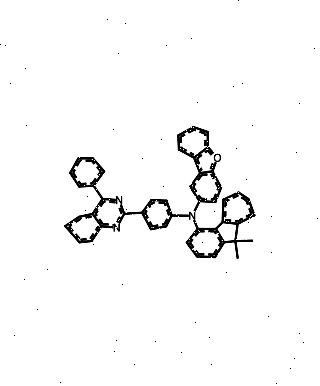 CC1(C)c2ccccc2-c2c(N(c3ccc(-c4nc(-c5ccccc5)c5ccccc5n4)cc3)c3ccc4oc5ccccc5c4c3)cccc21